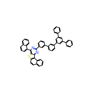 c1ccc(-c2cc(-c3ccccc3)cc(-c3cccc(-c4cccc(-c5nc(-c6cccc7ccccc67)c6sc7ccc8ccccc8c7c6n5)c4)c3)c2)cc1